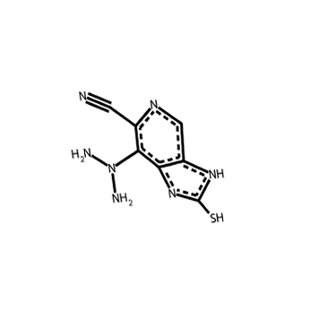 N#Cc1ncc2[nH]c(S)nc2c1N(N)N